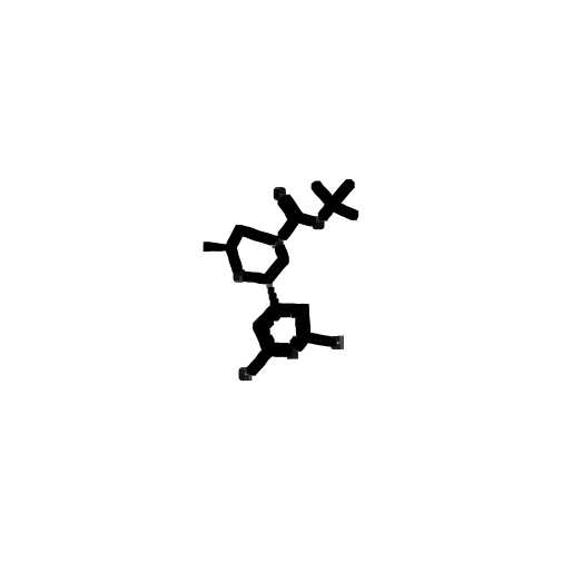 C[C@H]1CN(C(=O)OC(C)(C)C)C[C@H](c2cc(Cl)nc(Cl)c2)O1